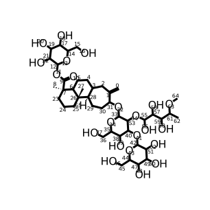 C=C1CC2CCC3[C@](C)(C(=O)OC4OC(CO)C(O)C(O)C4O)CCC[C@@]3(C)[C@@H]2CCC1OC1OC(CO)C(O)C(OC2OC(CO)C(O)C(O)C2O)C1OC(O)C(O)C(O)C(C)OC